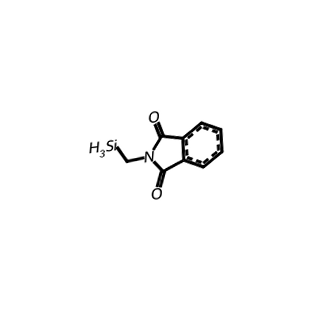 O=C1c2ccccc2C(=O)N1C[SiH3]